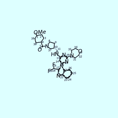 COC1CCC(C(=O)N2CC[C@H](CNc3cc(-n4c(C(F)F)nc5ccccc54)nc(N4CCOCC4)n3)C2)CC1